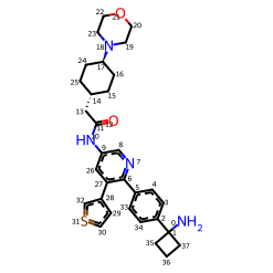 NC1(c2ccc(-c3ncc(NC(=O)C[C@H]4CC[C@H](N5CCOCC5)CC4)cc3-c3ccsc3)cc2)CCC1